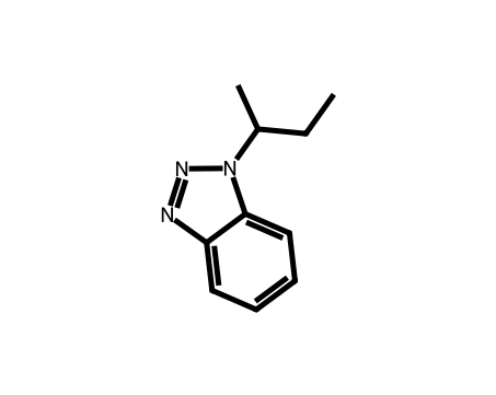 CCC(C)n1nnc2ccccc21